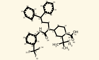 CC(C)(C)C1CC(N(CCC(c2ccccc2)c2ccccc2)C(=O)Nc2cccc(C(F)(F)F)c2)CCN1C(=O)O